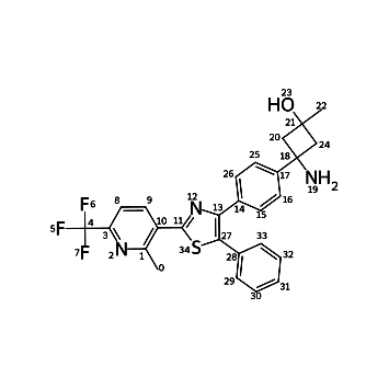 Cc1nc(C(F)(F)F)ccc1-c1nc(-c2ccc(C3(N)CC(C)(O)C3)cc2)c(-c2ccccc2)s1